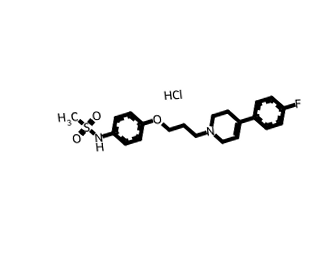 CS(=O)(=O)Nc1ccc(OCCCN2CC=C(c3ccc(F)cc3)CC2)cc1.Cl